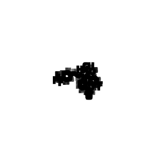 CNC(=O)[C@H](c1ccc(F)cc1)N(CCCc1ccc(C(F)(F)F)cc1)c1cccc(C2(O)COC2)c1